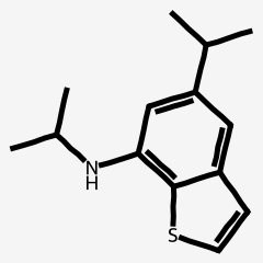 CC(C)Nc1cc(C(C)C)cc2ccsc12